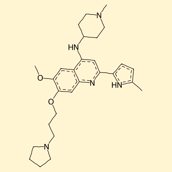 COc1cc2c(NC3CCN(C)CC3)cc(-c3ccc(C)[nH]3)nc2cc1OCCCN1CCCC1